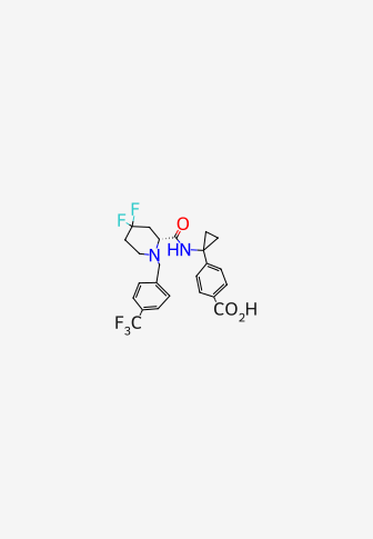 O=C(O)c1ccc(C2(NC(=O)[C@H]3CC(F)(F)CCN3Cc3ccc(C(F)(F)F)cc3)CC2)cc1